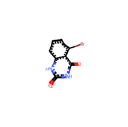 O=c1[nH]c(=O)c2c(Br)cccc2[nH]1